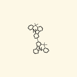 CC1(C)c2ccccc2-n2c3ccc(-c4cc5c6c(c4)c4ccccc4n6-c4ccccc4C5(C)C)cc3c3cccc1c32